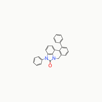 O=c1n2c3c(cccc3n1-c1ccccc1)-c1c(cccc1-c1ccccc1)C2